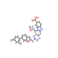 O=C(O)c1ccc2nc(CN3CCN(Cc4cc5ccc(-c6ccc(Cl)cc6Cl)cc5o4)CC3)n(C[C@@H]3CCO3)c2c1